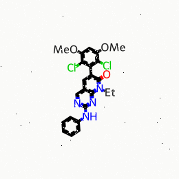 CCn1c(=O)c(-c2c(Cl)c(OC)cc(OC)c2Cl)cc2cnc(Nc3ccccc3)nc21